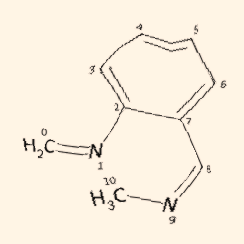 C=Nc1ccccc1/C=N\C